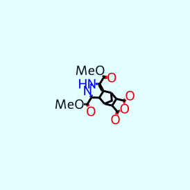 COC(=O)C1=NNC(C(=O)OC)=C2C3CC(C12)C1C(=O)OC(=O)C31